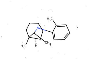 Cc1ccccc1N1C2CCC(C)(CC2)[C@@H]1C